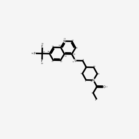 CCC(=O)N1CCC(CSc2ccnc3cc(C(F)(F)F)ccc23)CC1